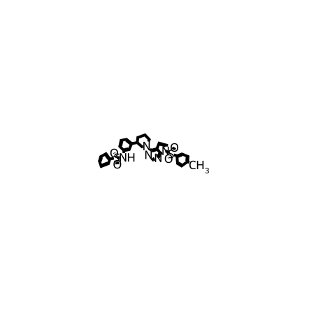 Cc1ccc(S(=O)(=O)n2ccc3c(N4CCCC(c5cccc(NS(=O)(=O)c6ccccc6)c5)C4)ncnc32)cc1